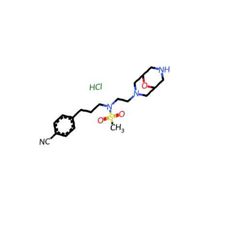 CS(=O)(=O)N(CCCc1ccc(C#N)cc1)CCN1CC2CNCC(C1)O2.Cl